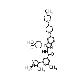 Cc1cc(C(=O)Nc2nc3ccc(N4CCC(N5CCN(C)CC5)CC4)cc3n2[C@H]2CC[C@@](C)(O)CC2)cc(-c2cnn(C)c2C)n1